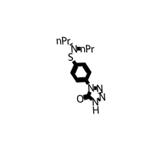 CCCN(CCC)Sc1ccc(-n2nn[nH]c2=O)cc1